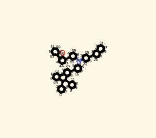 c1ccc(-c2c(-c3ccccc3)c3cc(-c4cccc(N(c5ccc(-c6ccc7ccccc7c6)cc5)c5cccc(-c6cccc7c6oc6ccccc67)c5)c4)ccc3c3ccccc23)cc1